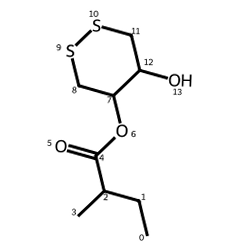 CCC(C)C(=O)OC1CSSCC1O